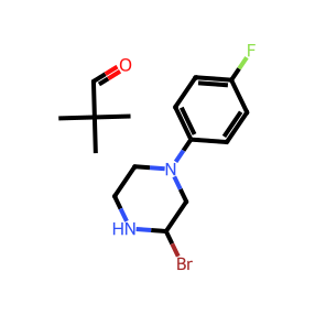 CC(C)(C)C=O.Fc1ccc(N2CCNC(Br)C2)cc1